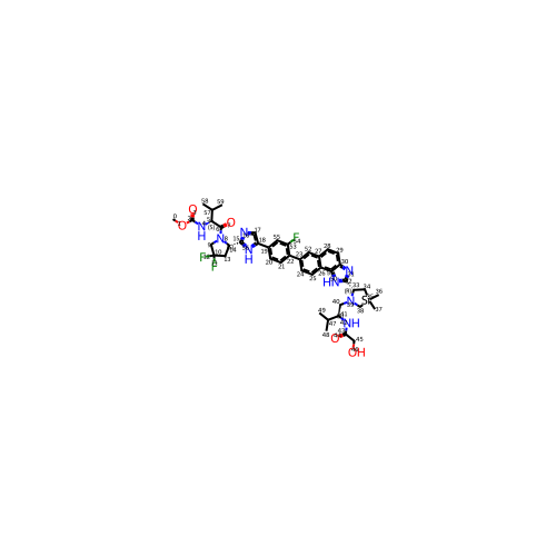 COC(=O)N[C@H](C(=O)N1CC(F)(F)C[C@H]1c1ncc(-c2ccc(-c3ccc4c(ccc5nc([C@@H]6C[Si](C)(C)CN6C[C@@H](NC(=O)CO)C(C)C)[nH]c54)c3)c(F)c2)[nH]1)C(C)C